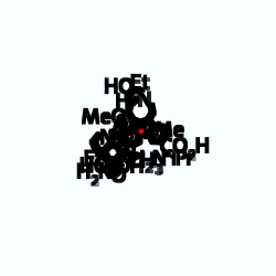 CC(C)[C@H](N)C(=O)O.CC[C@]1(O)C[C@H]2C[N@](CCc3c([nH]c4ccccc34)[C@@](C(=O)OC)(c3cc4c(cc3OC)N(C)[C@H]3[C@@](O)(C(N)=O)[C@H](O)[C@]5(CC)C=CCN6CC[C@]43[C@@H]65)C2)C1